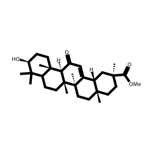 COC(=O)[C@@]1(C)CC[C@]2(C)CC[C@]3(C)C(=CC(=O)[C@@H]4[C@@]5(C)CC[C@H](O)C(C)(C)C5CC[C@]43C)[C@@H]2C1